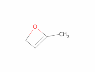 CC1=CCO1